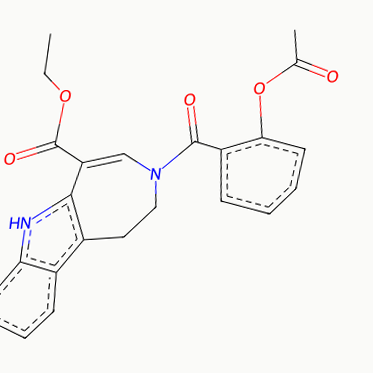 CCOC(=O)C1=CN(C(=O)c2ccccc2OC(C)=O)CCc2c1[nH]c1ccccc21